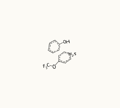 FC(F)(F)Oc1ccccc1.Oc1ccccc1.S